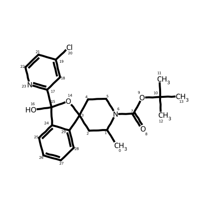 CC1CC2(CCN1C(=O)OC(C)(C)C)OC(O)(c1cc(Cl)ccn1)c1ccccc12